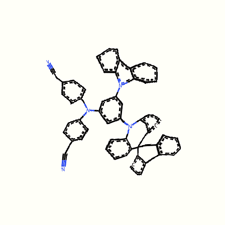 N#Cc1ccc(N(c2ccc(C#N)cc2)c2cc(N3c4ccccc4C4(c5ccccc5-c5ccccc54)c4ccccc43)cc(-n3c4ccccc4c4ccccc43)c2)cc1